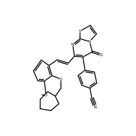 COc1cccc(C=Cc2nc3sccn3c(=O)c2-c2ccc(C#N)cc2)c1OCC1CCCCC1